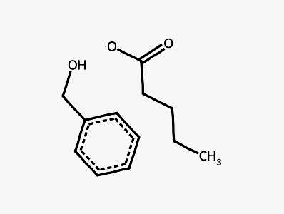 CCCCC([O])=O.OCc1ccccc1